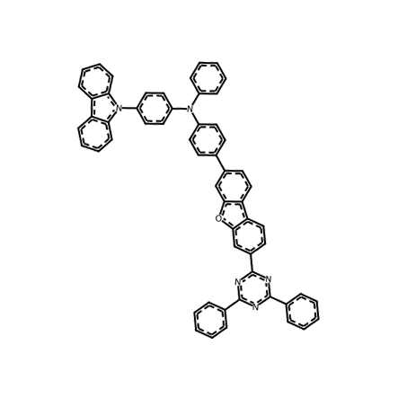 c1ccc(-c2nc(-c3ccccc3)nc(-c3ccc4c(c3)oc3cc(-c5ccc(N(c6ccccc6)c6ccc(-n7c8ccccc8c8ccccc87)cc6)cc5)ccc34)n2)cc1